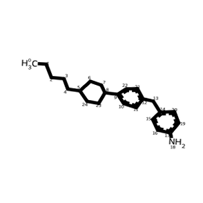 CCCCCC1CCC(c2ccc(Cc3ccc(N)cc3)cc2)CC1